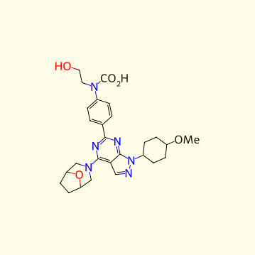 COC1CCC(n2ncc3c(N4CC5CCC(C4)O5)nc(-c4ccc(N(CCO)C(=O)O)cc4)nc32)CC1